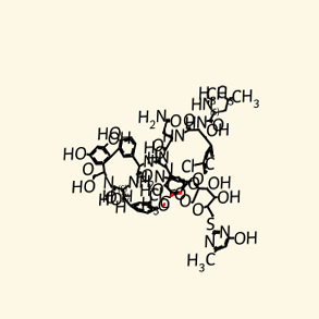 CN[C@@H](CC(C)C)C(=O)NC1C(=O)NC(CC(N)=O)C(=O)NC2C(=O)NC3C(=O)N[C@H](C(=O)NC(C(=O)O)c4cc(O)cc(O)c4-c4cc3ccc4O)[C@H](O)c3ccc(c(Cl)c3)Oc3cc2cc(c3OC2OC(CSc3nc(C)cc(O)n3)C(O)C(O)C2OC2CC(N)(I)C(O)C(C)O2)Oc2ccc(cc2Cl)C1O